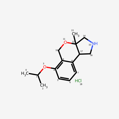 CC(C)Oc1cccc2c1COC1(C)CNCC21.Cl